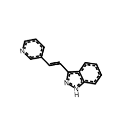 C(=Cc1n[nH]c2ccccc12)c1cccnc1